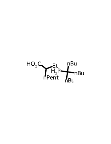 CCCCC(P)(CCCC)CCCC.CCCCCC(CC)C(=O)O